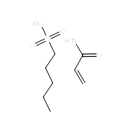 C=CC(N)=O.CCCCCS(=O)(=O)O